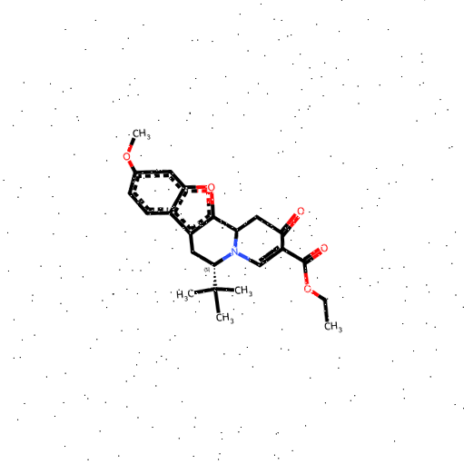 CCOC(=O)C1=CN2C(CC1=O)c1oc3cc(OC)ccc3c1C[C@H]2C(C)(C)C